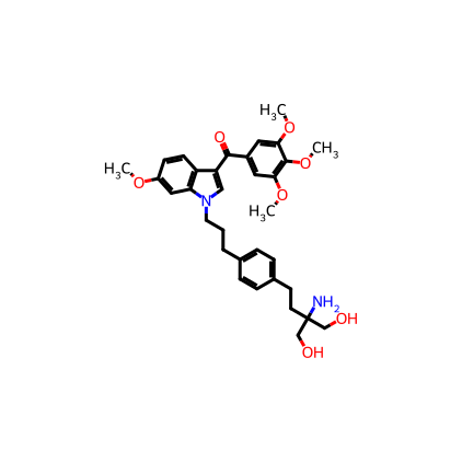 COc1ccc2c(C(=O)c3cc(OC)c(OC)c(OC)c3)cn(CCCc3ccc(CCC(N)(CO)CO)cc3)c2c1